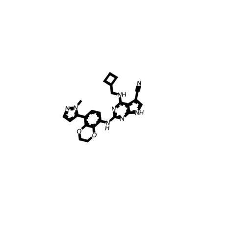 Cn1nccc1-c1ccc(Nc2nc(NCC3CCC3)c3c(C#N)c[nH]c3n2)c2c1OCCO2